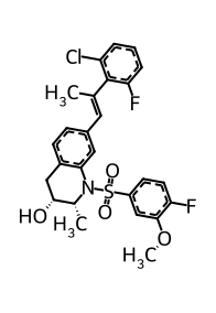 COc1cc(S(=O)(=O)N2c3cc(/C=C(\C)c4c(F)cccc4Cl)ccc3C[C@@H](O)[C@H]2C)ccc1F